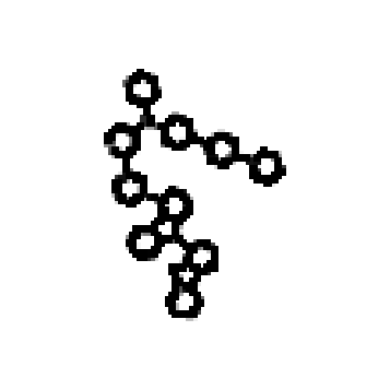 c1ccc(-c2ccc(-c3ccc(N(c4ccccc4)c4cccc(-c5cccc(-c6cccc7c6c6ccccc6n7-c6cccc7c6sc6ccccc67)c5)c4)cc3)cc2)cc1